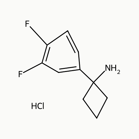 Cl.NC1(c2ccc(F)c(F)c2)CCC1